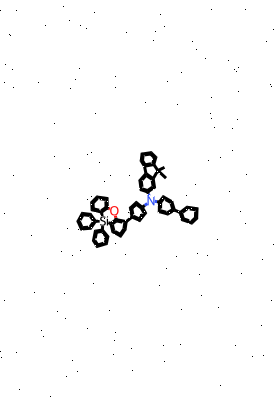 CC1(C)c2ccccc2-c2ccc(N(c3ccc(-c4ccccc4)cc3)c3ccc(-c4cccc5c4Oc4ccccc4[Si]5(c4ccccc4)c4ccccc4)cc3)cc21